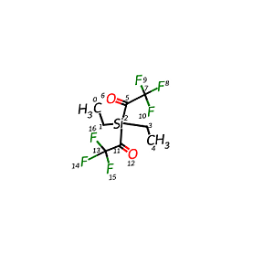 CC[Si](CC)(C(=O)C(F)(F)F)C(=O)C(F)(F)F